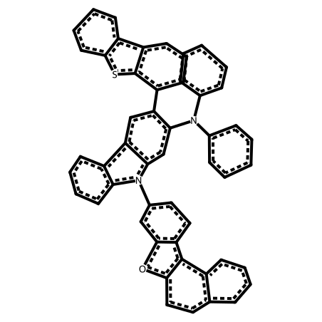 c1ccc(N(c2ccccc2)c2cc3c(cc2-c2cccc4c2sc2ccccc24)c2ccccc2n3-c2ccc3c(c2)oc2ccc4ccccc4c23)cc1